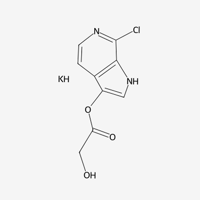 O=C(CO)Oc1c[nH]c2c(Cl)nccc12.[KH]